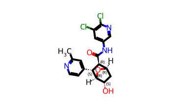 Cc1cc([C@H]2[C@H]3O[C@H](C[C@@H]3O)[C@@H]2C(=O)Nc2cnc(Cl)c(Cl)c2)ccn1